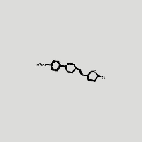 CCCCCc1ccc(C2CCC(/C=C/C3CCC(CC)OC3)CC2)cc1